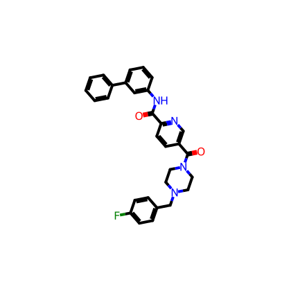 O=C(Nc1cccc(-c2ccccc2)c1)c1ccc(C(=O)N2CCN(Cc3ccc(F)cc3)CC2)cn1